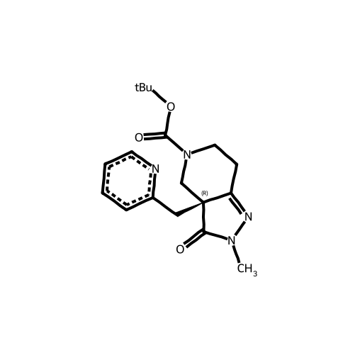 CN1N=C2CCN(C(=O)OC(C)(C)C)C[C@@]2(Cc2ccccn2)C1=O